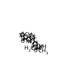 C=C1C=C(N2CCOc3cc(C(=O)N4CCCC4C)cnc32)C=CN1C(=O)C(C)=N